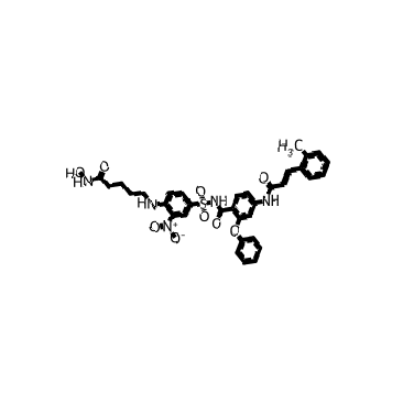 Cc1ccccc1C=CC(=O)Nc1ccc(C(=O)NS(=O)(=O)c2ccc(NCCCCC(=O)NO)c([N+](=O)[O-])c2)c(Oc2ccccc2)c1